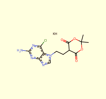 CC1(C)OC(=O)C(CCn2cnc3nc(N)nc(Cl)c32)C(=O)O1.[KH]